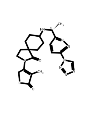 CC1=C(N2CCC3(CCC(N[C@H](C)c4ccc(-n5cnnn5)nn4)CC3)C2=O)COC1=O